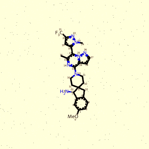 COc1ccc2c(c1)[C@@H](N)C1(CCN(c3nc(C)c(-c4cc(C(F)(F)F)nn4C)n4nccc34)CC1)C2